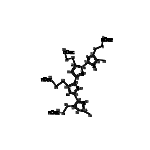 CCCCCCCCCCCCc1cc(-c2sc(-c3sc(-c4sc(C)cc4CCCCCCCCCCCC)cc3CCCCCCCCCCCC)cc2CCCCCCCCCCCC)sc1C